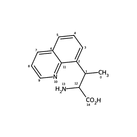 CC(c1cccc2cccnc12)C(N)C(=O)O